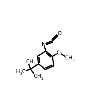 COc1ccc(C(C)(C)C)cc1N=C=O